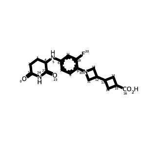 O=C1CCC(Nc2ccc(N3CC(C4CC(C(=O)O)C4)C3)c(F)c2)C(=O)N1